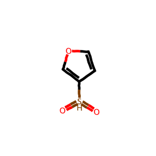 O=[SH](=O)c1ccoc1